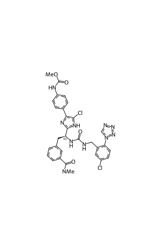 CNC(=O)c1cccc(C[C@H](NC(=O)NCc2cc(Cl)ccc2-n2cnnn2)c2nc(-c3ccc(NC(=O)OC)cc3)c(Cl)[nH]2)c1